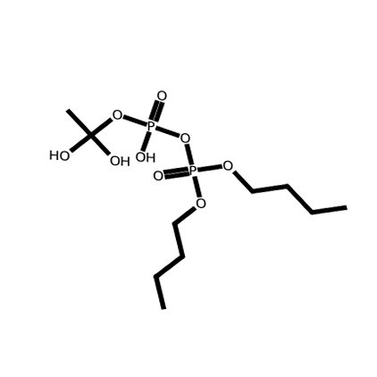 CCCCOP(=O)(OCCCC)OP(=O)(O)OC(C)(O)O